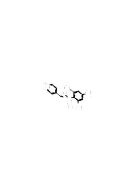 Clc1cc(Cl)c(N/N=C/c2ccncc2)c(Cl)c1